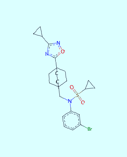 O=S(=O)(C1CC1)N(CC12CCC(c3nc(C4CC4)no3)(CC1)CC2)c1cccc(Br)c1